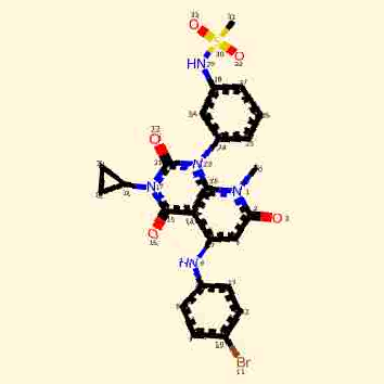 Cn1c(=O)cc(Nc2ccc(Br)cc2)c2c(=O)n(C3CC3)c(=O)n(-c3cccc(NS(C)(=O)=O)c3)c21